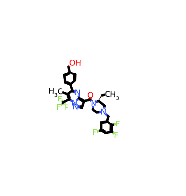 CC[C@@H]1CN(Cc2cc(F)cc(F)c2F)CCN1C(=O)c1cnn2c(C(F)(F)F)c(C)c(-c3ccc(CO)cc3)nc12